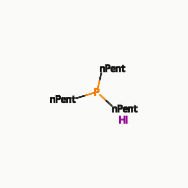 CCCCCP(CCCCC)CCCCC.I